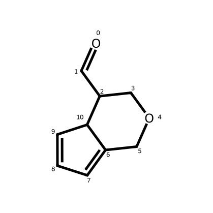 O=CC1COCC2=CC=CC21